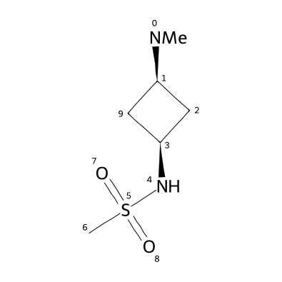 CN[C@H]1C[C@@H](NS(C)(=O)=O)C1